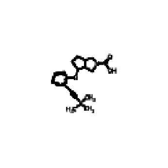 C[Si](C)(C)C#Cc1ccccc1OC1CCC2CN(C(=O)O)CC21